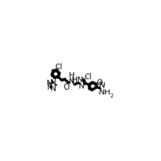 Nc1noc2cc(-c3nc(CNC(=O)CCc4cc(Cl)ccc4-n4cnnn4)[nH]c3Cl)ccc12